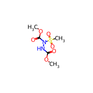 COC(=O)NN(C(=O)OC)S(C)(=O)=O